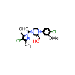 COc1cc(N2CCN(C(C=O)n3nc(C(F)(F)F)c(Cl)c3C)C[C@@H]2CO)ccc1Cl